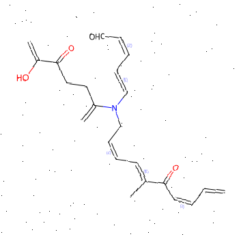 C=C/C=C\C(=O)/C(C)=C/C=C\CN(/C=C/C=C\C=O)C(=C)CCC(=O)C(=C)O